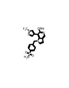 COc1ncc2ccn(Cc3ccc(S(N)(=O)=O)cc3)c2c1-c1cnn(C(F)(F)F)c1